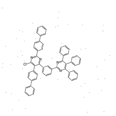 Clc1nc(-c2ccc(-c3ccccc3)cc2)nc(-c2cccc(-c3nc(-c4ccccc4)c(-c4ccccc4)c(-c4ccccc4)n3)c2)c1-c1ccc(-c2ccccc2)cc1